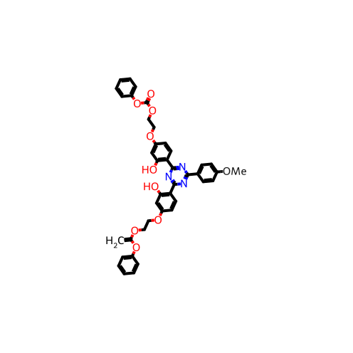 C=C(OCCOc1ccc(-c2nc(-c3ccc(OC)cc3)nc(-c3ccc(OCCOC(=O)Oc4ccccc4)cc3O)n2)c(O)c1)Oc1ccccc1